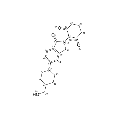 O=C1c2ccc(N3CCC(CO)CC3)cc2CN1N1C(=O)CCCC1=O